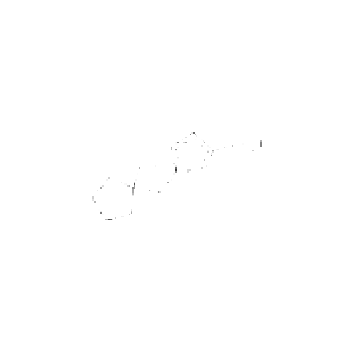 CCOC(=O)C1(Cc2ccc(C(=O)O)s2)CCCC1